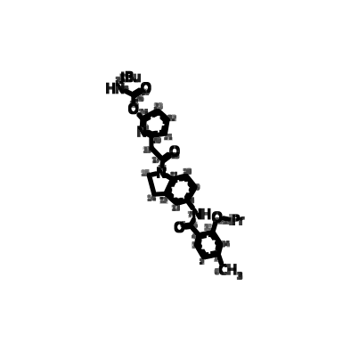 Cc1ccc(C(=O)Nc2ccc3c(c2)CCN3C(=O)Cc2cccc(OC(=O)NC(C)(C)C)n2)c(OC(C)C)c1